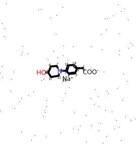 O=C([O-])Cc1ccc(N2CCC(O)CC2)cc1.[Na+]